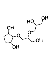 OCC(O)COC(CO)COC1C(O)CCC1O